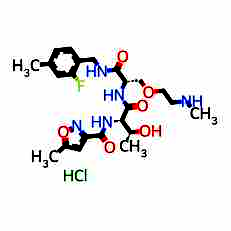 CNCCOC[C@H](NC(=O)[C@@H](NC(=O)c1cc(C)on1)[C@@H](C)O)C(=O)NCc1ccc(C)cc1F.Cl